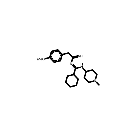 COc1ccc(CC(=N)/N=C(\NC2CCN(C)CC2)C2CCCCC2)cc1